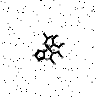 CC[N](CC)[Nb](=[N]C(C)C)([CH]1C=CC=C1)[N](CC)CC